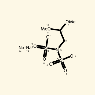 COC(CN(S(=O)(=O)[O-])S(=O)(=O)[O-])OC.[Na+].[Na+]